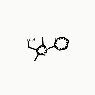 Cc1nn(-c2ncccn2)c(C)c1CC(=O)O